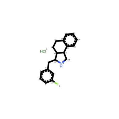 Cl.Fc1cccc(CC2NCC3c4ccccc4CCC23)c1